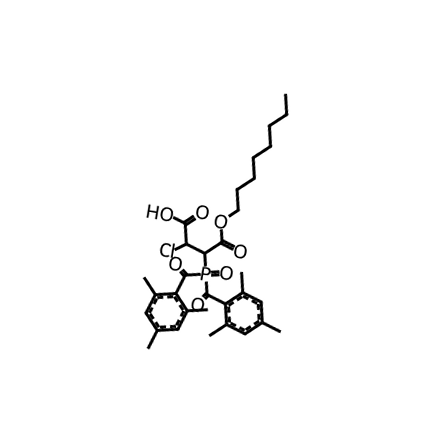 CCCCCCCCOC(=O)C(C(Cl)C(=O)O)P(=O)(C(=O)c1c(C)cc(C)cc1C)C(=O)c1c(C)cc(C)cc1C